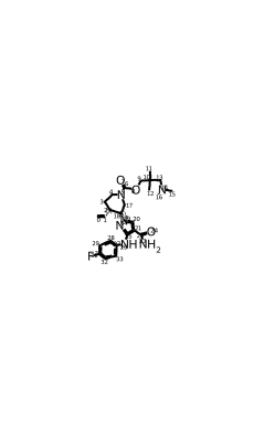 C=C[C@@H]1CCN(C(=O)OCC(C)(C)CN(C)C)C[C@H]1n1cc(C(N)=O)c(Nc2ccc(F)cc2)n1